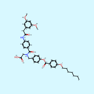 CCCCCCCOc1ccc(C(=O)Oc2ccc(CN(CC(=O)O)C(=O)c3ccc(NC(=O)Cc4cc(OC)cc(OC)c4)cc3)cc2)cc1